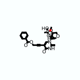 C=C1NC(=O)C(C#CCOC(=O)c2ccccc2)=CN1[C@@H]1O[C@]2(CC)COC1[C@@H]2OP(C)(=O)O